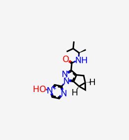 CC(C)[C@@H](C)NC(=O)c1nn(-c2c[n+](O)ccn2)c2c1C[C@H]1C[C@@H]21